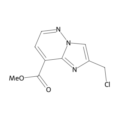 COC(=O)c1ccnn2cc(CCl)nc12